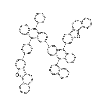 c1ccc(-c2c3ccccc3c(-c3ccc(-c4ccc5oc6c7ccccc7ccc6c5c4)cc3)c3cc(-c4ccc5c(-c6cccc7ccccc67)c6ccccc6c(-c6ccc7c(c6)oc6c8ccccc8ccc76)c5c4)ccc23)cc1